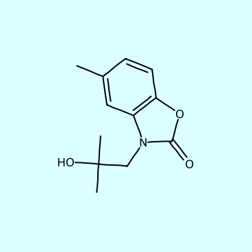 Cc1ccc2oc(=O)n(CC(C)(C)O)c2c1